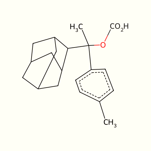 Cc1ccc(C(C)(OC(=O)O)C2C3CC4CC(C3)CC2C4)cc1